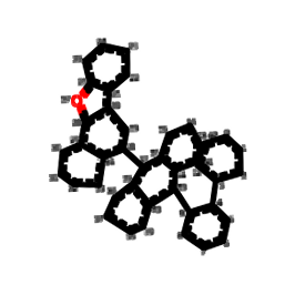 c1ccc(-c2ccccc2-c2c3ccccc3c(-c3cc4c5ccccc5oc4c4ccccc34)c3ccccc23)cc1